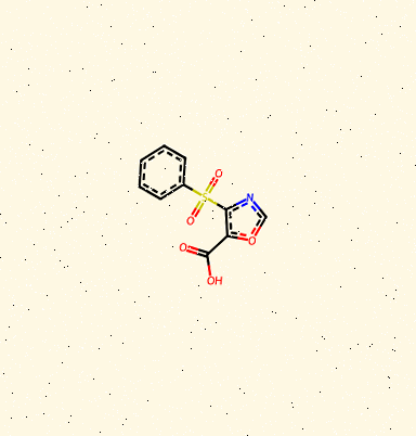 O=C(O)c1ocnc1S(=O)(=O)c1ccccc1